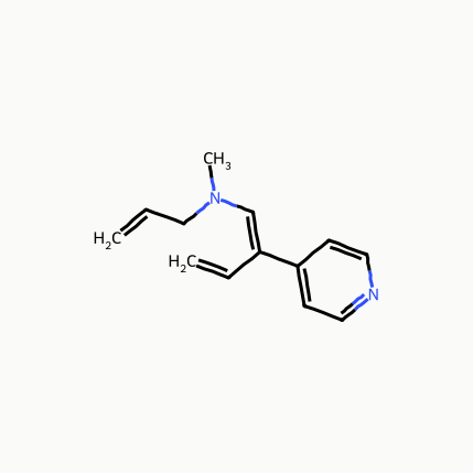 C=CCN(C)/C=C(\C=C)c1ccncc1